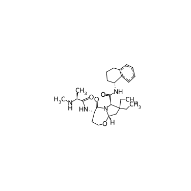 CCC1(CC)C[C@@H]2OCC[C@H](NC(=O)[C@H](C)NC)C(=O)N2[C@H]1C(=O)N[C@@H]1CCCc2ccccc21